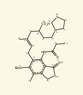 COc1c(C)c2c(c(NC(=O)CF)c1C/C=C(\C)CC(CCN1CCSC1)C(=O)O)C(=O)OC2